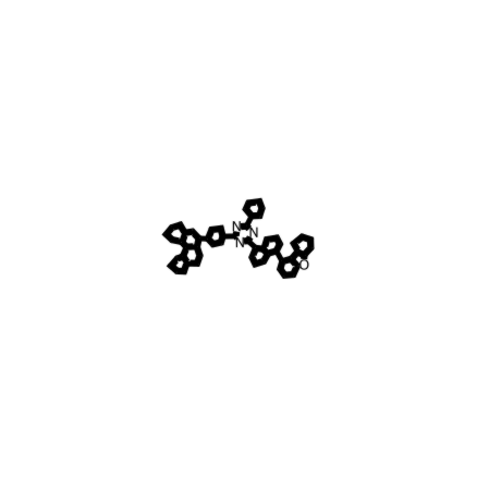 c1ccc(-c2nc(-c3ccc(-c4cc5ccccc5c5c4ccc4ccccc45)cc3)nc(-c3cccc4c(-c5cccc6oc7ccccc7c56)cccc34)n2)cc1